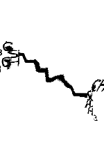 C[SiH](C)CCCCCCCCCC[SiH](C)C